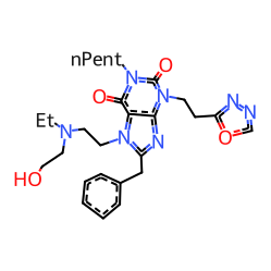 CCCCCn1c(=O)c2c(nc(Cc3ccccc3)n2CCN(CC)CCO)n(CCc2nnco2)c1=O